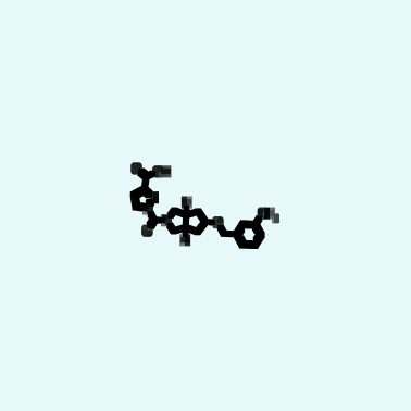 Cc1cccc(CO[C@H]2C[C@@H]3CN(C(=O)n4ccc(C(=O)O)n4)C[C@@H]3C2)c1